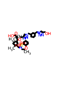 Cc1ccc(C(OCc2cn(Cc3cccc(Cn4cc(CO)nn4)c3)nn2)C(C)(C)C(=O)O)cc1CN1CC(C)Oc2ccccc2S1(O)O